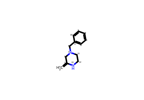 C=C1CN(Cc2ccccc2)CCN1